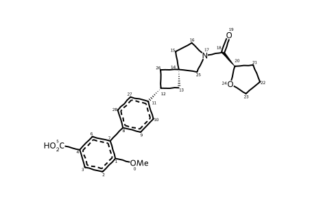 COc1ccc(C(=O)O)cc1-c1ccc([C@H]2C[C@@]3(CCN(C(=O)[C@H]4CCCO4)C3)C2)cc1